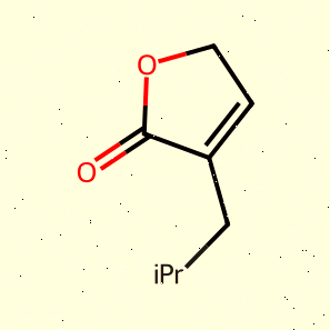 CC(C)CC1=CCOC1=O